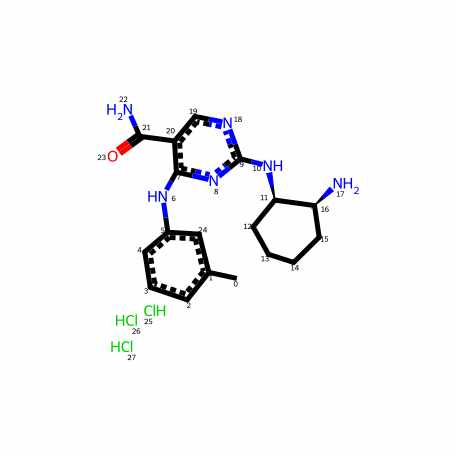 Cc1cccc(Nc2nc(N[C@@H]3CCCC[C@@H]3N)ncc2C(N)=O)c1.Cl.Cl.Cl